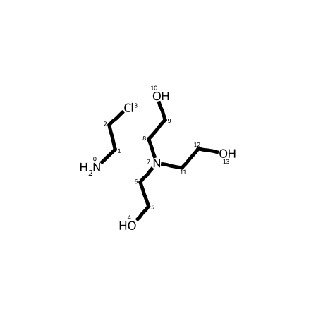 NCCCl.OCCN(CCO)CCO